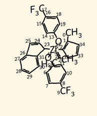 CC1=[C]([Zr]([O]c2ccc(C(F)(F)F)cc2)([O]c2ccc(C(F)(F)F)cc2)(=[C](C)C)[CH]2C=Cc3ccccc32)CC=C1